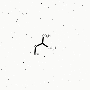 CC(C)(C)OC(C(=O)O)C(=O)O